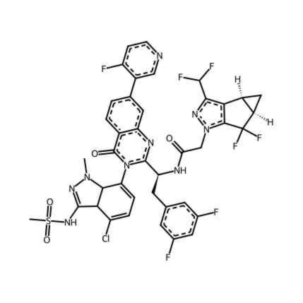 CN1N=C(NS(C)(=O)=O)C2C(Cl)=CC=C(n3c([C@H](Cc4cc(F)cc(F)c4)NC(=O)Cn4nc(C(F)F)c5c4C(F)(F)[C@@H]4C[C@H]54)nc4cc(-c5cnccc5F)ccc4c3=O)C21